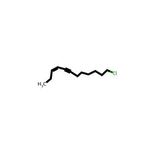 CC/C=C\C#CCCCCCCCl